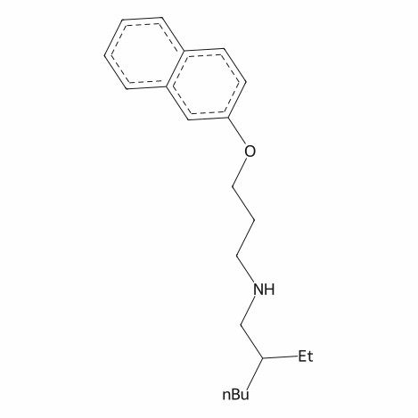 CCCCC(CC)CNCCCOc1ccc2ccccc2c1